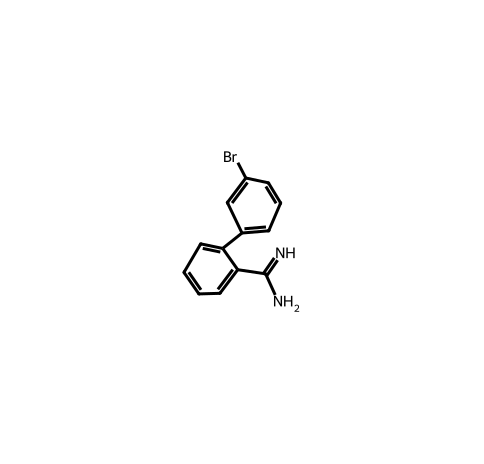 N=C(N)c1ccccc1-c1cccc(Br)c1